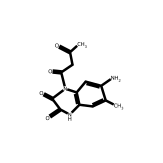 CC(=O)CC(=O)n1c(=O)c(=O)[nH]c2cc(C)c(N)cc21